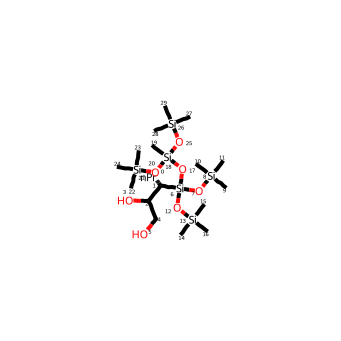 CCC[C](C(O)CO)[Si](O[Si](C)(C)C)(O[Si](C)(C)C)O[Si](C)(O[Si](C)(C)C)O[Si](C)(C)C